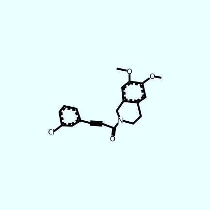 COc1cc2c(cc1OC)CN(C(=O)C#Cc1cccc(Cl)c1)CC2